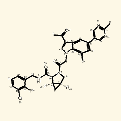 CC(=O)c1nn(CC(=O)N2C[C@H]3C[C@H]3[C@H]2C(=O)NCc2cccc(Cl)c2F)c2c(C)cc(-c3cnc(C)nc3)cc12